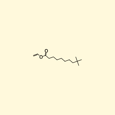 C=COC(=O)CCCCCCCC(C)(C)C